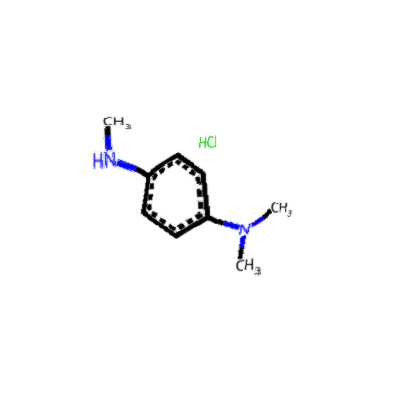 CNc1ccc(N(C)C)cc1.Cl